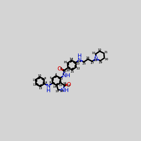 O=C(Nc1ccc(Nc2ccccc2)c2c1C(=O)NC2)c1ccc(NCCCN2CCCCC2)cc1